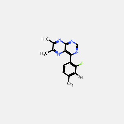 [2H]c1c(C(F)(F)F)ccc(-c2ncnc3nc(C)c(C)nc23)c1F